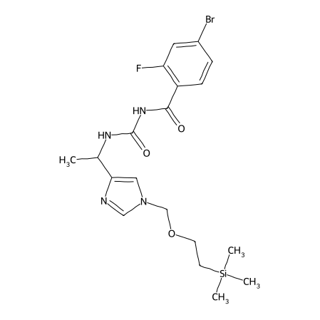 CC(NC(=O)NC(=O)c1ccc(Br)cc1F)c1cn(COCC[Si](C)(C)C)cn1